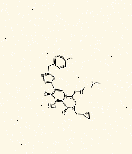 COCCOC[C@H]1CN(CC2CC2)C(=O)c2c(O)c(=O)c(-c3nnc(Cc4ccc(F)cc4)s3)cn21